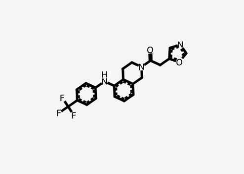 O=C(Cc1cnco1)N1CCc2c(cccc2Nc2ccc(C(F)(F)F)cc2)C1